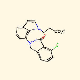 O=C(O)CCn1ccc2cccc(N3Cc4cccc(Cl)c4C3=O)c21